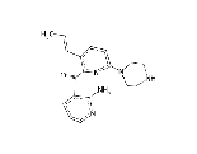 C/C=C/c1ccc(N2CCNCC2)nc1C(=O)c1cccnc1N